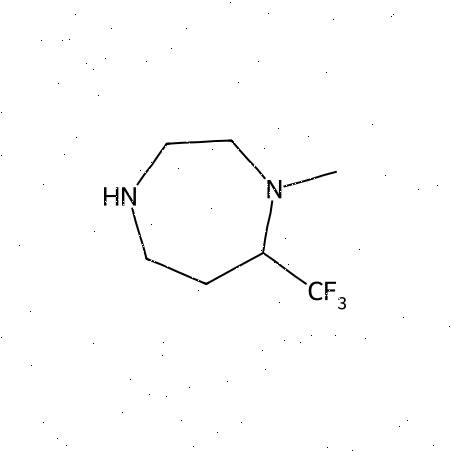 CN1CCNCCC1C(F)(F)F